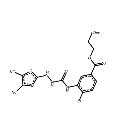 CCCCCCCCCCCCOC(=O)c1ccc(Cl)c(NC(=O)NNc2nc(C#N)c(C#N)o2)c1